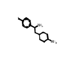 NC1CCC(CC(N)c2ccc(I)cc2)CC1